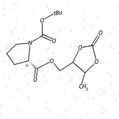 CC1OC(=O)OC1COC(=O)[C@@H]1CCCN1C(=O)OC(C)(C)C